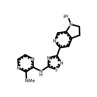 CNc1nccnc1Nc1nc(-c2cc3c(cn2)N(C(C)C)CC3)ns1